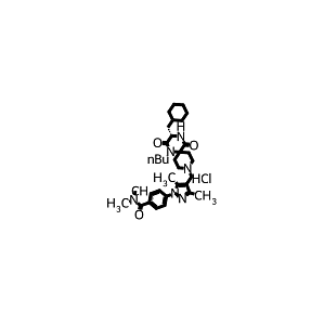 CCCCN1C(=O)[C@H](CC2CCCCC2)NC(=O)C12CCN(Cc1c(C)nn(-c3ccc(C(=O)N(C)C)cc3)c1C)CC2.Cl